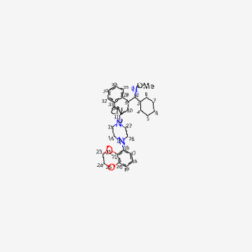 CO/N=C(\C1CCCCC1)C(CCN1CCN(c2cccc3c2OCCO3)CC1)c1ccccc1C#N